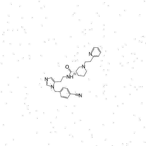 N#Cc1ccc(Cn2cncc2CCNC(=O)[C@H]2CCCN(CCc3ccccn3)C2)cc1